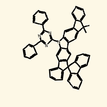 CC1(C)c2ccccc2-c2cc3c(cc21)c1cc2c(cc1n3-c1nc(-c3ccccc3)nc(-c3ccccc3)n1)-c1ccccc1C21c2ccccc2-c2ccccc21